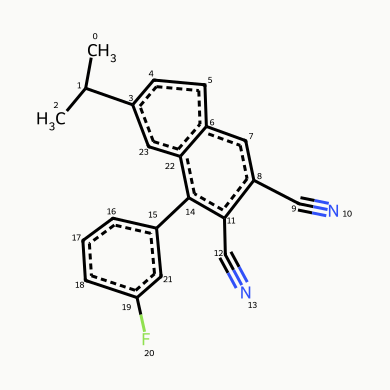 CC(C)c1ccc2cc(C#N)c(C#N)c(-c3cccc(F)c3)c2c1